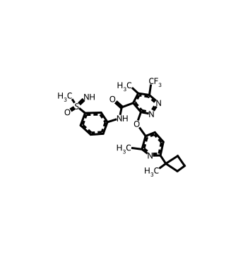 Cc1nc(C2(C)CCC2)ccc1Oc1nnc(C(F)(F)F)c(C)c1C(=O)Nc1cccc(S(C)(=N)=O)c1